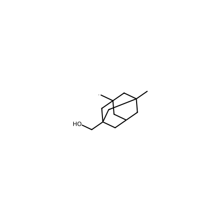 [CH2]C12CC3CC(C)(C1)CC(CO)(C3)C2